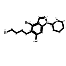 Clc1cc2c(cnn2C2CCCCO2)c(Br)c1CCCCBr